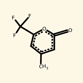 Cc1cc(C(F)(F)F)oc(=O)c1